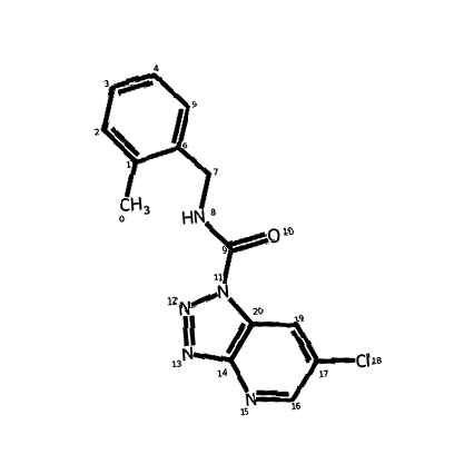 Cc1ccccc1CNC(=O)n1nnc2ncc(Cl)cc21